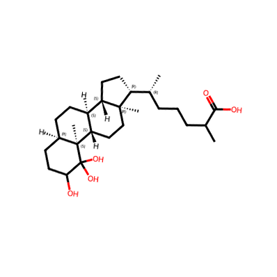 CC(CCC[C@@H](C)[C@H]1CC[C@H]2[C@@H]3CC[C@@H]4CCC(O)C(O)(O)[C@]4(C)[C@H]3CC[C@]12C)C(=O)O